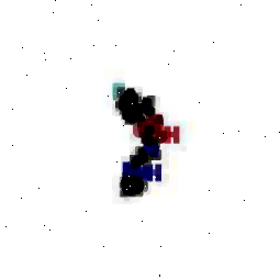 CC(C)[C@H]1c2ccc(F)cc2CC[C@H]1COC(CCN(C)CCCc1nc2ccccc2[nH]1)C(=O)O